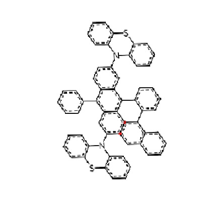 c1ccc(-c2c3cc(N4c5ccccc5Sc5ccccc54)ccc3c(-c3ccccc3-c3cccc4ccccc34)c3cc(N4c5ccccc5Sc5ccccc54)ccc23)cc1